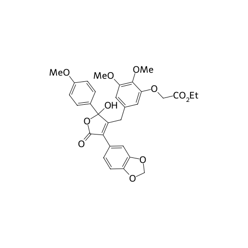 CCOC(=O)COc1cc(CC2=C(c3ccc4c(c3)OCO4)C(=O)OC2(O)c2ccc(OC)cc2)cc(OC)c1OC